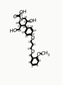 COc1ccccc1COCCCOc1ccc(C2C(O)CN(C(=O)O)CC2CO)cc1